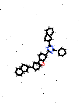 c1ccc(-c2nc(-c3ccc4ccccc4c3)nc(-c3ccc4c(c3)oc3ccc(-c5ccc6ccccc6c5)cc34)n2)cc1